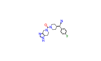 N#CC(=C1CCN(C(=O)N2CCc3[nH]cnc3C2)CC1)c1ccc(F)cc1